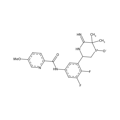 COc1ccc(C(=O)Nc2cc(F)c(F)c(C3C[S+]([O-])C(C)(C)C(=N)N3)c2)nc1